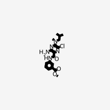 COC(=O)c1cccc(NC(=O)c2nc(Cl)c(N(C)CC(C)C)nc2N)c1